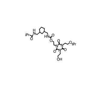 CC(C)OCCn1c(=O)n(CCO)c(=O)n(CCOC(=O)NCC2CCCC(CNC(=O)C(C)C)C2)c1=O